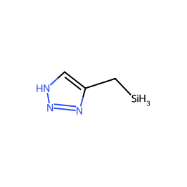 [SiH3]Cc1c[nH]nn1